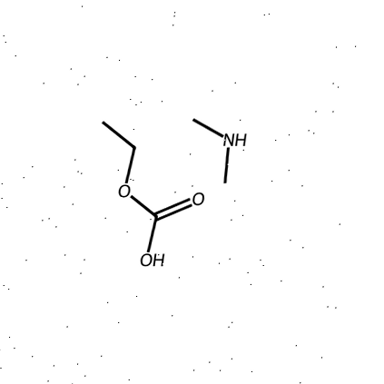 CCOC(=O)O.CNC